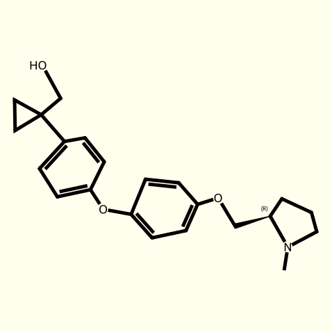 CN1CCC[C@@H]1COc1ccc(Oc2ccc(C3(CO)CC3)cc2)cc1